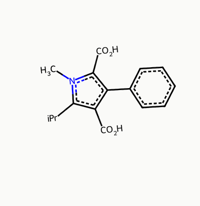 CC(C)c1c(C(=O)O)c(-c2ccccc2)c(C(=O)O)n1C